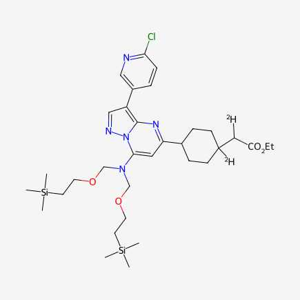 [2H]C(C(=O)OCC)C1([2H])CCC(c2cc(N(COCC[Si](C)(C)C)COCC[Si](C)(C)C)n3ncc(-c4ccc(Cl)nc4)c3n2)CC1